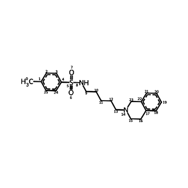 Cc1ccc(S(=O)(=O)NCCCCCN2CCc3ccccc3C2)cc1